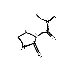 CN(C)C(=O)N1CC[N]C1=O